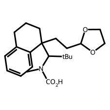 CN(C(=O)O)C(C(C)(C)C)C1(CCC2OCCO2)CCCc2ccccc21